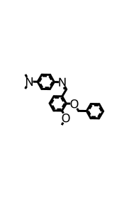 COc1cccc(/C=N\c2ccc(N(C)C)cc2)c1OCc1ccccc1